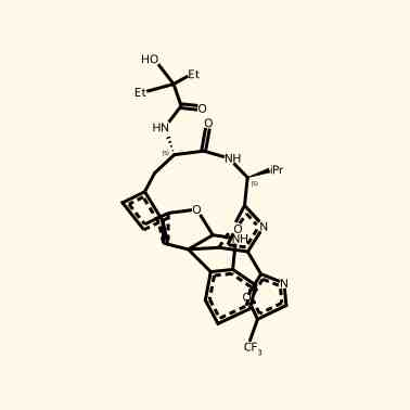 CCC(O)(CC)C(=O)N[C@H]1Cc2ccc3c(c2)C2(c4ccccc4NC2O3)c2oc(nc2-c2ncc(C(F)(F)F)o2)[C@H](C(C)C)NC1=O